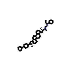 C=C/C(=C\C=C(/C)c1cc2c(ccc3c2ccc2c4ccc5sc(-c6ccc(-c7ccccc7)cc6)cc5c4ccc32)s1)c1ccccc1